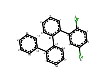 Brc1ccc(Br)c(-c2ccccc2-c2ccccc2-c2ccccc2)c1